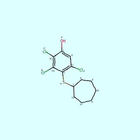 Oc1cc(Cl)c(SC2CCCCCC2)c(Cl)c1Cl